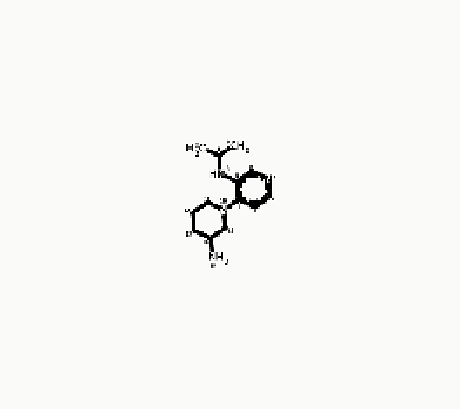 CC(C)Nc1cnccc1N1CCCC(N)C1